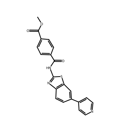 COC(=O)c1ccc(C(=O)Nc2nc3ccc(-c4ccncc4)cc3s2)cc1